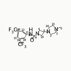 CN1CCN(C2CN(C(=O)Nc3cc(C(F)(F)F)cc(C(F)(F)F)c3)C2)CC1